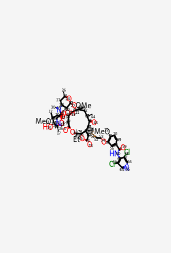 CC[C@H]1OC(=O)[C@H](C)[C@@H](O[C@H]2C[C@@](C)(OC)[C@@H](O)[C@H](C)O2)[C@H](C)[C@@H](O[C@@H]2O[C@H](C)C[C@H](N(C)C(=O)CN(C)C)[C@H]2O)[C@](C)(OC)C[C@@H](C)C(=O)[C@H](C)[C@H]2[C@H](SCCOc3cc(C(=O)Nc4c(Cl)cncc4Cl)ccc3OC)C(=O)O[C@@]21C